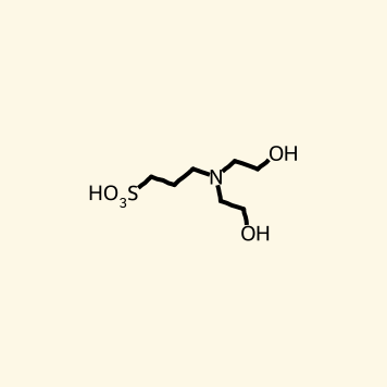 O=S(=O)(O)CCCN(CCO)CCO